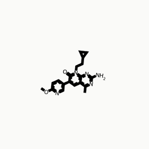 COc1ccc(-c2cc3c(C)nc(N)nc3n(CCC3CC3)c2=O)cn1